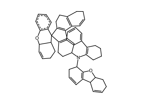 C1=CCCC(C2=C(N(C3CCC4=C(C3)C3=C(CCC5=C3C=CCC5)C43c4ccccc4OC4C=CCCC43)C3CC=CC4=C3OC3CCC=CC43)CCCC2)=C1